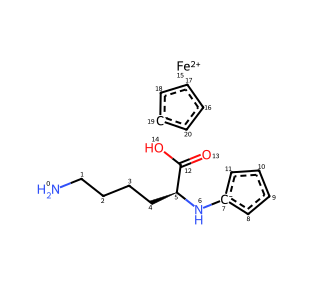 NCCCC[C@H](N[c-]1cccc1)C(=O)O.[Fe+2].c1cc[cH-]c1